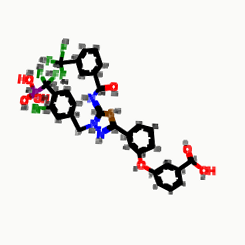 O=C(O)c1cccc(Oc2cccc(-c3nn(Cc4ccc(C(F)(F)P(=O)(O)O)c(Br)c4)c(=NC(=O)c4cccc(C(F)(F)F)c4)s3)c2)c1